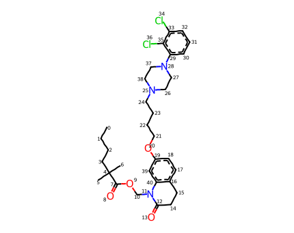 CCCCC(C)(C)C(=O)OCN1C(=O)CCc2ccc(OCCCCN3CCN(c4cccc(Cl)c4Cl)CC3)cc21